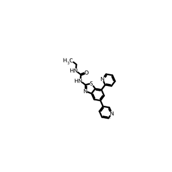 CCNC(=O)Nc1nc2cc(-c3cc[c]nc3)cc(-c3ccccn3)c2s1